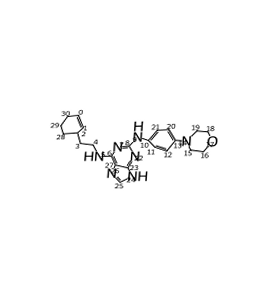 C1=CC(CCNc2nc(Nc3ccc(N4CCOCC4)cc3)nc3[nH]cnc23)CCC1